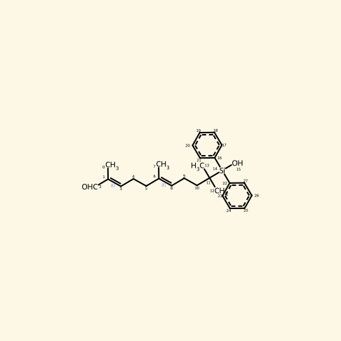 C/C(C=O)=C\CC/C(C)=C/CCC(C)(C)[Si](O)(c1ccccc1)c1ccccc1